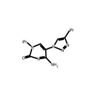 CC(C)c1cn(-c2cn(C(C)C)c(=O)nc2N)nn1